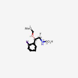 COCO[C@@H](c1ccccc1I)[C@H](C)NS(=O)(=O)O